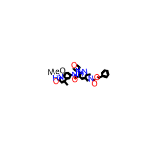 COc1cc(NC(=O)c2cc3c(nc2N2CCOCC2)CN(C(=O)OCc2ccccc2)C3)cc2c(C)cc(=O)[nH]c12